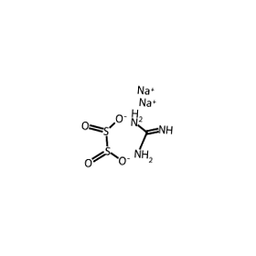 N=C(N)N.O=S([O-])S(=O)[O-].[Na+].[Na+]